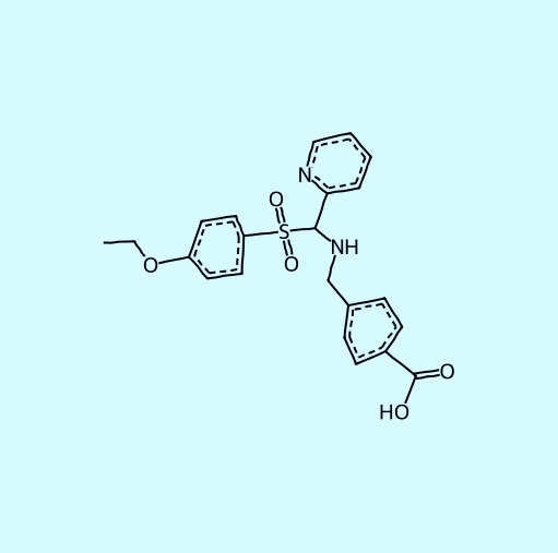 CCOc1ccc(S(=O)(=O)C(NCc2ccc(C(=O)O)cc2)c2ccccn2)cc1